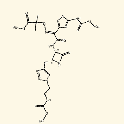 CC(C)(C)OC(=O)NCCn1cc(C[C@H]2NC(=O)[C@H]2NC(=O)C(=NOC(C)(C)C(=O)OC(C)(C)C)c2csc(NC(=O)OC(C)(C)C)n2)nn1